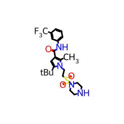 Cc1c(C(=O)Nc2cccc(C(F)(F)F)c2)cc(C(C)(C)C)n1CCS(=O)(=O)N1CCNCC1